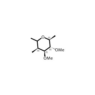 CO[C@@H]1[C@@H](OC)[C@@H](C)C(C)O[C@H]1C